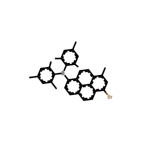 Cc1cc(C)c(B(c2c(C)cc(C)cc2C)c2ccc3ccc4c(Br)cc(C)c5ccc2c3c54)c(C)c1